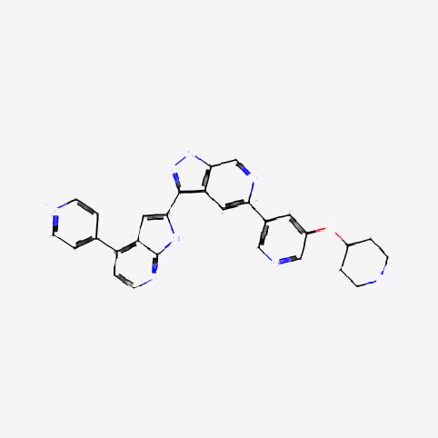 c1cc(-c2ccnc3[nH]c(-c4n[nH]c5cnc(-c6cncc(OC7CCNCC7)c6)cc45)cc23)ccn1